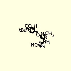 Cc1nc(Nc2ncc(C#N)s2)cc(OCC2CCN(C(C(=O)O)C(C)(C)C)CC2)n1